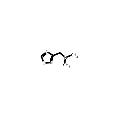 CN(C)Cc1n[c]on1